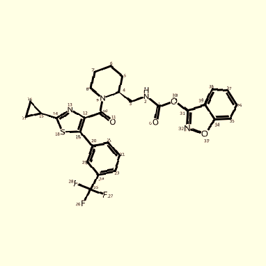 O=C(NC[C@@H]1CCCCN1C(=O)c1nc(C2CC2)sc1-c1cccc(C(F)(F)F)c1)Oc1noc2ccccc12